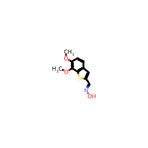 COc1ccc2cc(C=NO)sc2c1OC